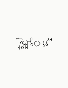 C#CCSCC(NC(=O)OC(C)(C)C)C(=O)Oc1ccc(C2=CC(S)SS2)cc1